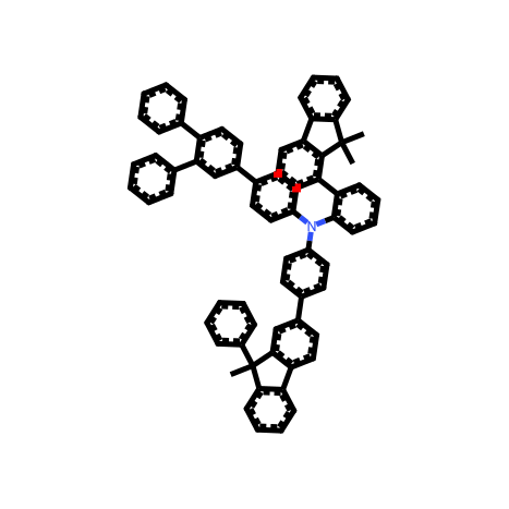 CC1(C)c2ccccc2-c2cccc(-c3ccccc3N(c3ccc(-c4ccc(-c5ccccc5)c(-c5ccccc5)c4)cc3)c3ccc(-c4ccc5c(c4)C(C)(c4ccccc4)c4ccccc4-5)cc3)c21